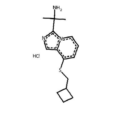 CC(C)(N)c1ncc2c(SCC3CCC3)cccn12.Cl